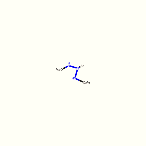 CONN(NOC)C(C)=O